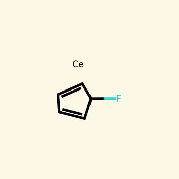 FC1C=CC=C1.[Ce]